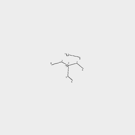 CC[Si](CC)CC.[Li][CH3]